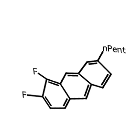 CCCCCc1ccc2cc3ccc(F)c(F)c3cc2c1